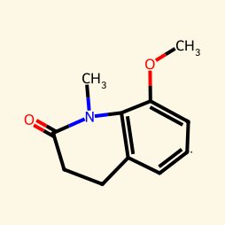 COc1c[c]cc2c1N(C)C(=O)CC2